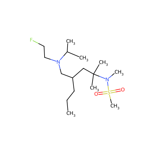 CCCC(CN(CCF)C(C)C)CC(C)(C)N(C)S(C)(=O)=O